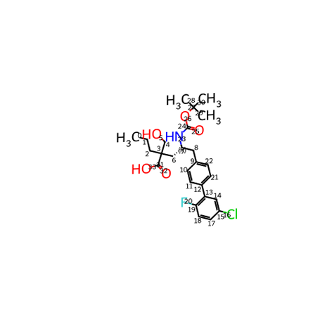 CCCC(CO)(C[C@@H](Cc1ccc(-c2cc(Cl)ccc2F)cc1)NC(=O)OC(C)(C)C)C(=O)O